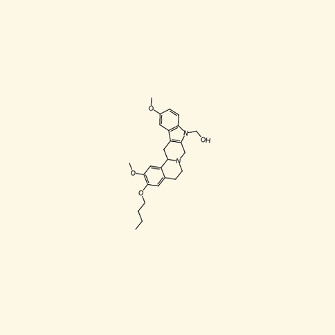 CCCCOc1cc2c(cc1OC)C1Cc3c(n(CO)c4ccc(OC)cc34)CN1CC2